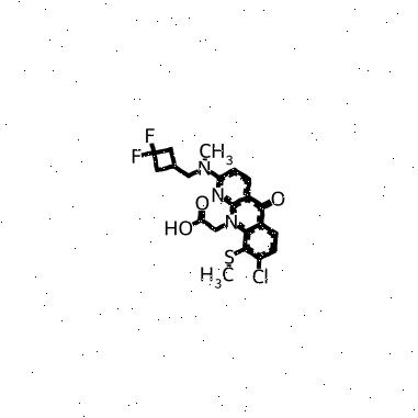 CSc1c(Cl)ccc2c(=O)c3ccc(N(C)CC4CC(F)(F)C4)nc3n(CC(=O)O)c12